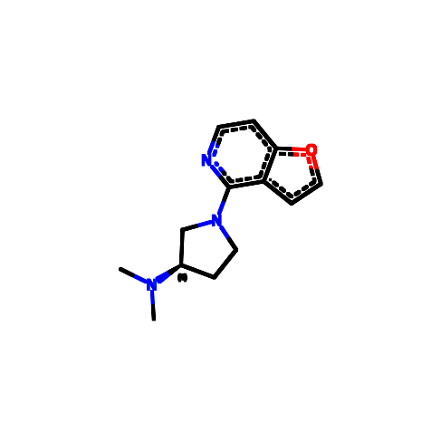 CN(C)[C@@H]1CCN(c2nccc3occc23)C1